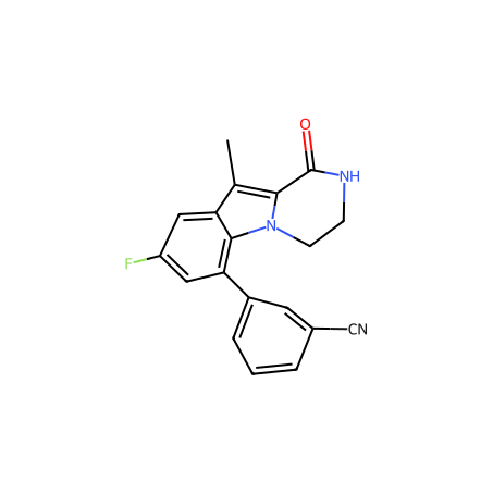 Cc1c2n(c3c(-c4cccc(C#N)c4)cc(F)cc13)CCNC2=O